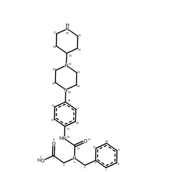 O=C(O)CN(Cc1ccccc1)C(=O)Nc1ccc(N2CCN(C3CCNCC3)CC2)cc1